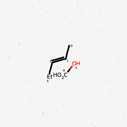 CC=CCC.O=C(O)O